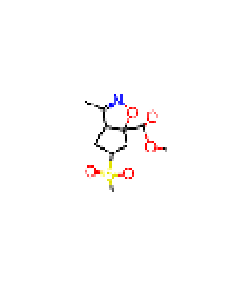 COC(=O)C12CC(S(C)(=O)=O)CC1C(C)=NO2